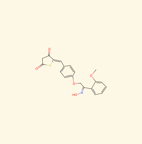 COc1ccccc1C(COc1ccc(/C=C2\SC(=O)CC2=O)cc1)=NO